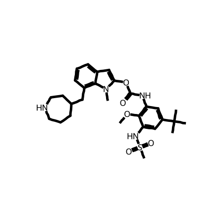 COc1c(NC(=O)Oc2cc3cccc(CC4CCCNCC4)c3n2C)cc(C(C)(C)C)cc1NS(C)(=O)=O